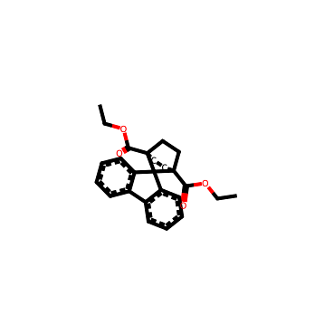 CCOC(=O)C12CCC(C(=O)OCC)(CC1)C21c2ccccc2-c2ccccc21